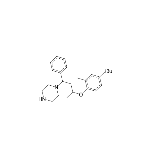 CCC(C)c1ccc(OC(C)CC(c2ccccc2)N2CCNCC2)c(C)c1